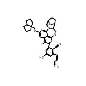 C#Cc1c(/C=C\C=C)cc(O)cc1-c1nc2c3c(nc(OCC45CCCN4CCC5)nc3c1F)N1CC3CCC(N3)C1CO2